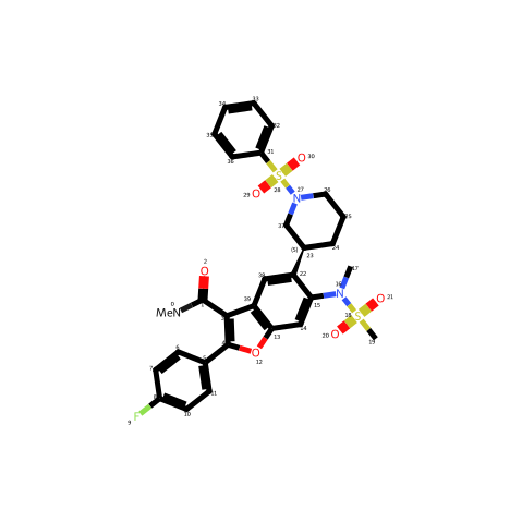 CNC(=O)c1c(-c2ccc(F)cc2)oc2cc(N(C)S(C)(=O)=O)c([C@@H]3CCCN(S(=O)(=O)c4ccccc4)C3)cc12